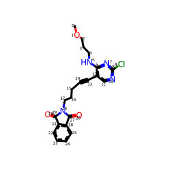 COCCCNc1nc(Cl)ncc1C#CCCCN1C(=O)c2ccccc2C1=O